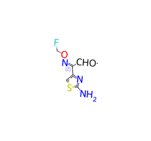 Nc1nc(/C([C]=O)=N/OCF)cs1